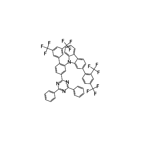 FC(F)(F)c1cc(-c2ccc(-c3nc(-c4ccccc4)nc(-c4ccccc4)n3)cc2-n2c3ccccc3c3ccc(-c4ccc(C(F)(F)F)cc4C(F)(F)F)cc32)cc(C(F)(F)F)c1